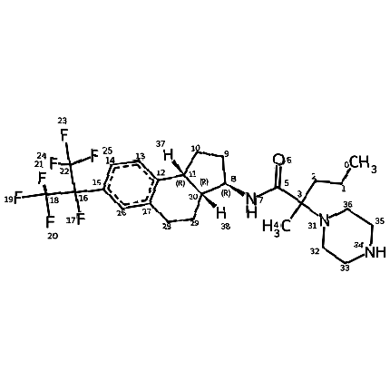 CCCC(C)(C(=O)N[C@@H]1CC[C@H]2c3ccc(C(F)(C(F)(F)F)C(F)(F)F)cc3CC[C@@H]12)N1CCNCC1